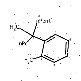 CCCCCC(C)(CCC)c1ccccc1C(F)(F)F